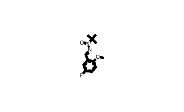 COc1ccc(F)cc1C=N[S+]([O-])C(C)(C)C